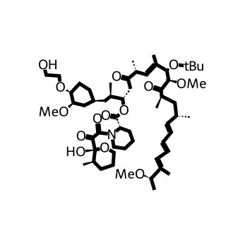 CO[C@@H](C)/C(C)=C/C=C/C=C/[C@@H](C)C[C@@H](C)C(=O)[C@H](OC)[C@H](OC(C)(C)C)/C(C)=C/[C@@H](C)C(=O)C[C@H](OC(=O)[C@@H]1CCCCN1C(=O)C(=O)[C@]1(O)OCCC[C@H]1C)[C@H](C)C[C@@H]1CC[C@@H](OCCO)[C@H](OC)C1